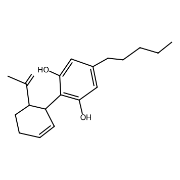 C=C(C)C1CCC=CC1c1c(O)cc(CCCCC)cc1O